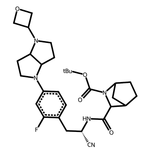 CC(C)(C)OC(=O)N1C2CCC(C2)C1C(=O)N[C@H](C#N)Cc1ccc(N2CCC3C2CCN3C2COC2)cc1F